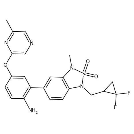 Cc1cncc(Oc2ccc(N)c(-c3ccc4c(c3)N(C)S(=O)(=O)N4CC3CC3(F)F)c2)n1